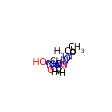 Cc1cccc(N2CCN(C(=O)Cn3nc(C(=O)N4C[C@H](O)C[C@H]4C)c4c3C[C@H]3C[C@@H]43)CC2)c1C